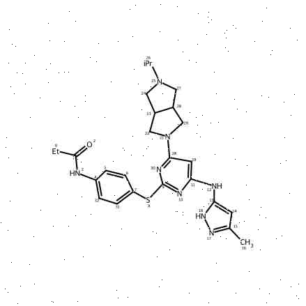 CCC(=O)Nc1ccc(Sc2nc(Nc3cc(C)n[nH]3)cc(N3CC4CN(C(C)C)CC4C3)n2)cc1